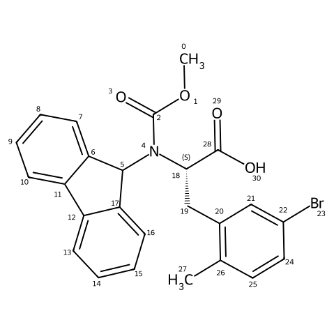 COC(=O)N(C1c2ccccc2-c2ccccc21)[C@@H](Cc1cc(Br)ccc1C)C(=O)O